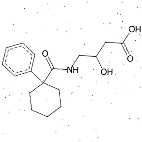 O=C(O)CC(O)CNC(=O)C1(c2ccccc2)CCCCC1